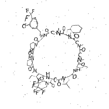 CC[C@H](C)[C@@H]1NC(=O)[C@H](CC(C)C)N(C)C(=O)C[C@@H](C(=O)N2CC(F)(F)C(F)(F)C(F)(F)C2)NC(=O)[C@H]([C@@H](C)CC)N(C)C(=O)C2(CCCC2)NC(=O)[C@@H]2CCCN2C(=O)[C@H](CCc2ccc(C(F)(F)F)c(Cl)c2)NC(=O)CN(C)C(=O)[C@H](CC2CCCCC2)N(C)C(=O)CN(C)C(=O)CN(C)C1=O